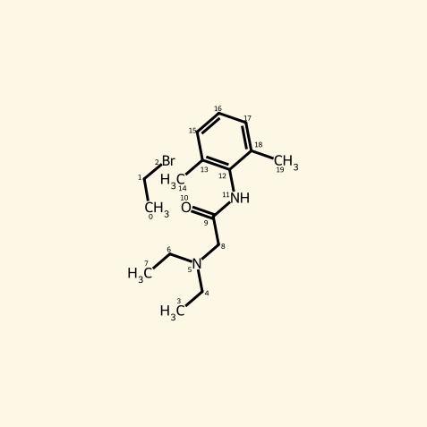 CCBr.CCN(CC)CC(=O)Nc1c(C)cccc1C